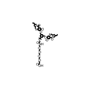 C/C=C1\CC2C=Nc3cc(OCc4cc(COc5cc6c(cc5OC)C(=O)N5C/C(=C/C)CC5C=N6)cc(C(C)(C)SCC(=O)NCCOCCOCCOCCOCCC(=O)O)c4)c(OC)cc3C(=O)N2C1